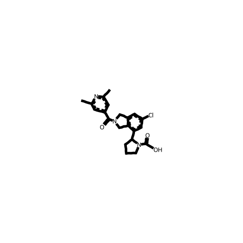 Cc1cc(C(=O)N2Cc3cc(Cl)cc(C4CCCN4C(=O)O)c3C2)cc(C)n1